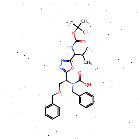 CC(C)[C@H](NC(=O)OC(C)(C)C)c1nnc([C@H](COCc2ccccc2)N(Cc2ccccc2)C(=O)O)o1